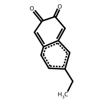 CCc1ccc2c(c1)=CC(=O)C(=O)C=2